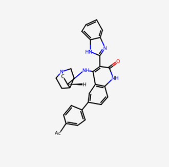 CC(=O)c1ccc(-c2ccc3[nH]c(=O)c(-c4nc5ccccc5[nH]4)c(N[C@H]4CN5CCC4CC5)c3c2)cc1